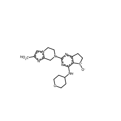 O=C(O)c1cn2c(n1)CN(c1nc3c(c(NC4CCOCC4)n1)[S+]([O-])CC3)CC2